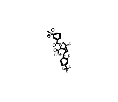 CS(=O)(=O)c1cccc(C(=O)N2C[C@@H](F)C[C@@H]2C(=O)N[C@@H](c2ccc(C(F)(F)F)cc2F)C2CC2)c1